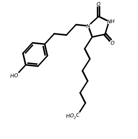 O=C(O)CCCCCCC1C(=O)NC(=O)N1CCCc1ccc(O)cc1